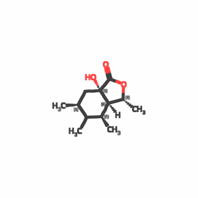 CC1[C@@H](C)C[C@@]2(O)C(=O)O[C@H](C)[C@H]2[C@H]1C